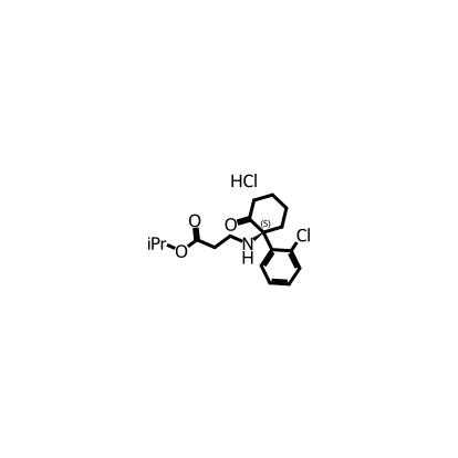 CC(C)OC(=O)CCN[C@]1(c2ccccc2Cl)CCCCC1=O.Cl